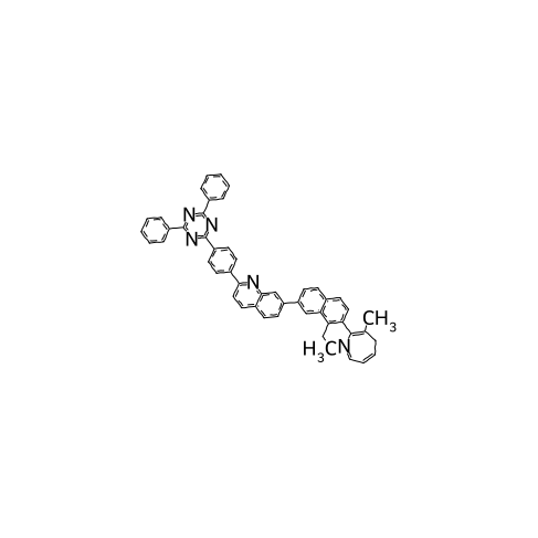 CCc1c(C2=C(C)CC=CC=N2)ccc2ccc(-c3ccc4ccc(-c5ccc(-c6nc(-c7ccccc7)nc(-c7ccccc7)n6)cc5)nc4c3)cc12